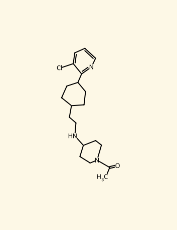 CC(=O)N1CCC(NCCC2CCC(c3ncccc3Cl)CC2)CC1